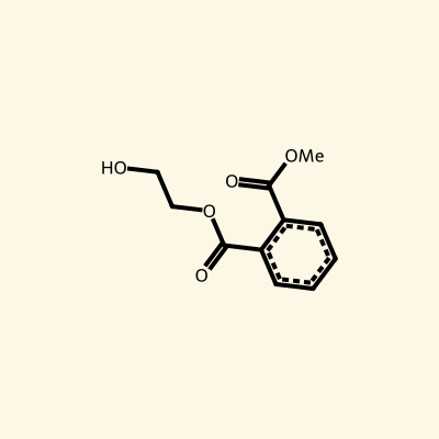 COC(=O)c1ccccc1C(=O)OCCO